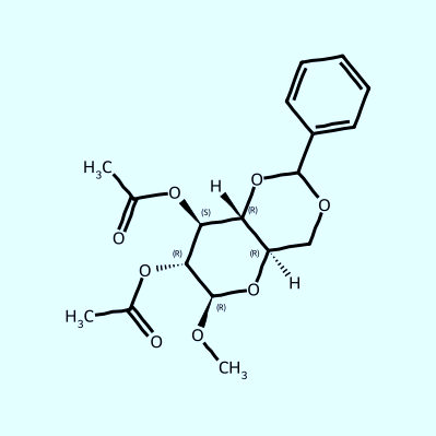 CO[C@@H]1O[C@@H]2COC(c3ccccc3)O[C@H]2[C@H](OC(C)=O)[C@H]1OC(C)=O